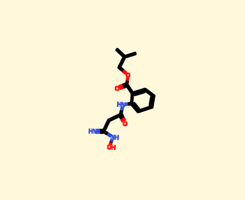 CC(C)COC(=O)c1ccccc1NC(=O)CC(=N)NO